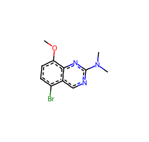 COc1ccc(Br)c2cnc(N(C)C)nc12